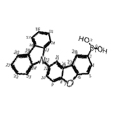 OB(O)c1ccc2oc3ccc(-n4c5ccccc5c5ccccc54)cc3c2c1